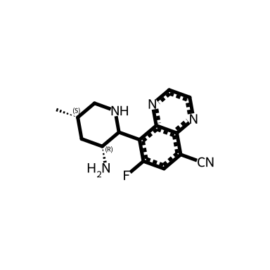 C[C@@H]1CNC(c2c(F)cc(C#N)c3nccnc23)[C@H](N)C1